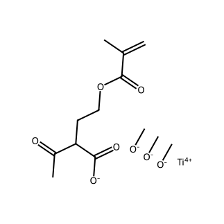 C=C(C)C(=O)OCCC(C(C)=O)C(=O)[O-].C[O-].C[O-].C[O-].[Ti+4]